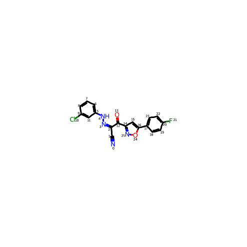 N#CC(=NNc1cccc(Cl)c1)C(=O)c1cc(-c2ccc(F)cc2)on1